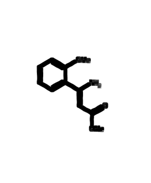 COC(=O)C=C(N)c1ccccc1OC